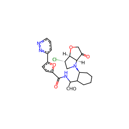 O=CC(NC(=O)c1ccc(-c2cccnn2)o1)C1CCCC[C@@H]1N1C[C@H](Cl)[C@H]2OCC(=O)[C@H]21